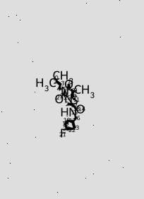 CC(C)=CCn1c(=O)c(C)c2sc(C(=O)NCc3ccc(F)cc3)cn2c1=O